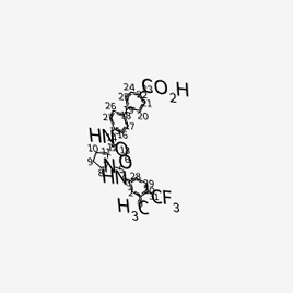 Cc1cc(NC(=O)N2CCC[C@@H]2C(=O)Nc2ccc(-c3ccc(C(=O)O)cc3)cc2)ccc1C(F)(F)F